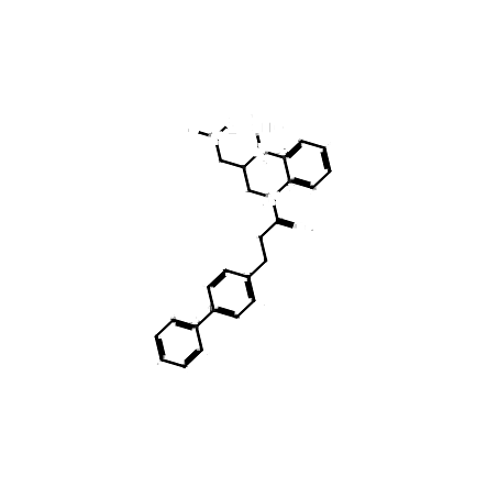 CN(C)CC1CN(C(=O)CCc2ccc(-c3ccccc3)cc2)c2ccccc2N1C=O